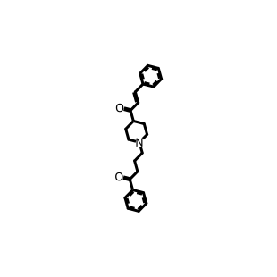 O=C(CCCN1CCC(C(=O)C=Cc2ccccc2)CC1)c1ccccc1